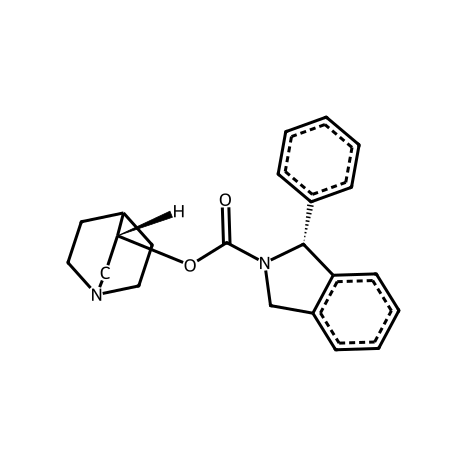 O=C(O[C@@H]1CN2CCC1CC2)N1Cc2ccccc2[C@H]1c1ccccc1